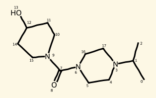 CC(C)N1CCN(C(=O)N2CCC(O)CC2)CC1